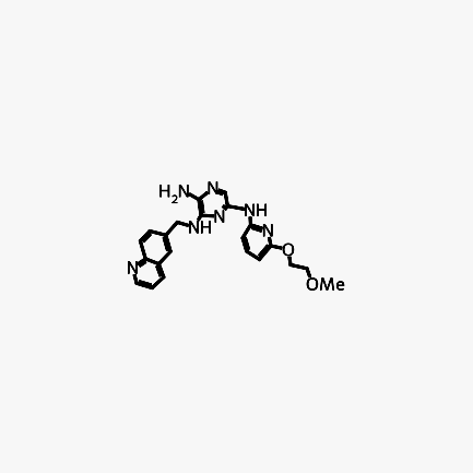 COCCOc1cccc(Nc2cnc(N)c(NCc3ccc4ncccc4c3)n2)n1